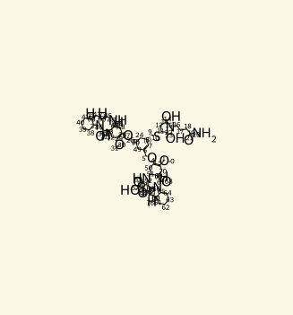 COC1=C(OCC2=C[C@@H](CSC3CC(O)N(CCCC(N)=O)C3O)C[C@@H](COC3=C(OC)C[C@@H]4C(=O)N5C6CCCC[C@@H]6C[C@H]5CN[C@@H]4C3)C2)CC2NC(S(=O)(=O)O)[C@@H]3C[C@@H]4CCCCC4N3C(=O)[C@@H]2C1